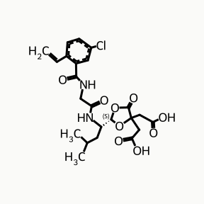 C=Cc1ccc(Cl)cc1C(=O)NCC(=O)NC(CC(C)C)[C@@H]1OC(=O)C(CC(=O)O)(CC(=O)O)O1